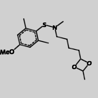 COc1cc(C)c(SN(C)CCCCC2OC(C)O2)c(C)c1